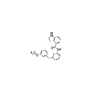 O=C(Nc1cc(Cc2cccc(OC(F)(F)F)c2)ccn1)c1cccc2c1CCN2